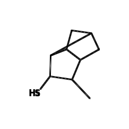 CC1C(S)C2C3CC1C2C3